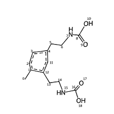 Cc1ccc(CCNC(=O)O)cc1CCNC(=O)O